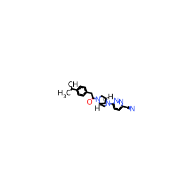 CC(C)c1ccc(CC(=O)N2C[C@@H]3C[C@H]2CN3c2ccc(C#N)nn2)cc1